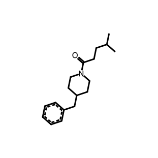 CC(C)CCC(=O)N1CCC(Cc2ccccc2)CC1